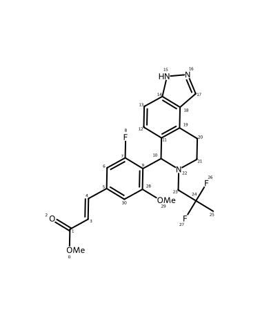 COC(=O)/C=C/c1cc(F)c(C2c3ccc4[nH]ncc4c3CCN2CC(C)(F)F)c(OC)c1